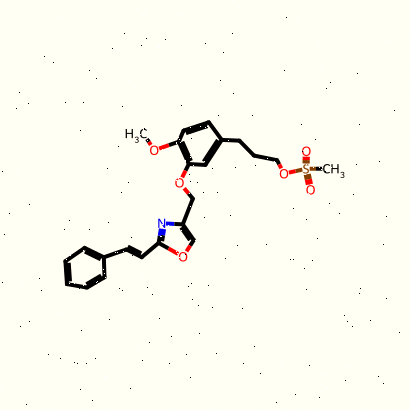 COc1ccc(CCCOS(C)(=O)=O)cc1OCc1coc(C=Cc2ccccc2)n1